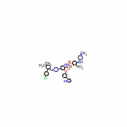 CN1CCC(Nc2ccc(S(=O)(=O)NC(=O)c3ccc(N4CCN(CC5=C(c6ccc(Cl)cc6)CC(C)(C)CC5)CC4)cc3Oc3cccc(-c4ccc[nH]4)c3)cc2[N+](=O)[O-])CC1